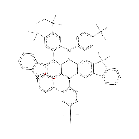 CC(C)(C)c1ccc(N2B3c4cc5c(cc4N(c4ccc(C(C)(C)C)cc4-c4ccccc4)c4cc6sc7ccccc7c6c(c43)-c3cc4c(cc32)C(C)(C)CCC4(C)C)-c2ccccc2C5(C)C)cc1